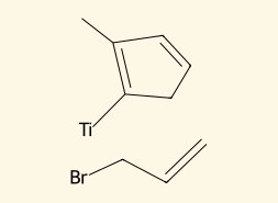 C=CCBr.CC1=[C]([Ti])CC=C1